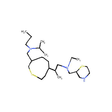 CCCN(CC1CCC(C(C)CN(CC)CC2CNCCS2)CCSC1)C(C)C